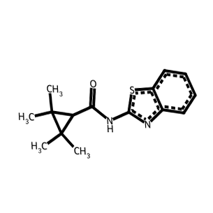 CC1(C)C(C(=O)Nc2nc3ccccc3s2)C1(C)C